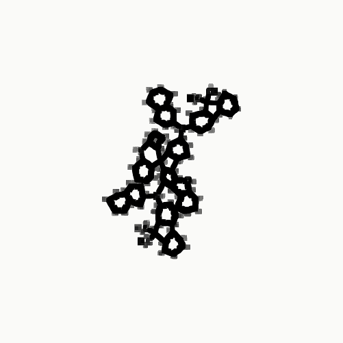 CC1(C)c2ccccc2-c2ccc(N(c3ccc4c(c3)C3(c5ccccc5Sc5ccccc53)c3cc(N(c5ccc6c(c5)C(C)(C)c5ccccc5-6)c5ccc6ccccc6c5)c5c(oc6ccccc65)c3-4)c3ccc4ccccc4c3)cc21